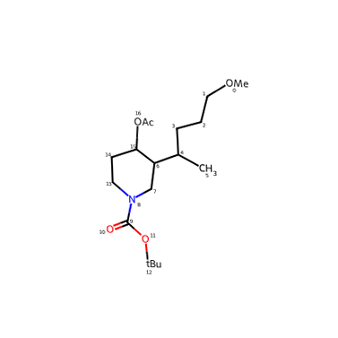 COCCCC(C)C1CN(C(=O)OC(C)(C)C)CCC1OC(C)=O